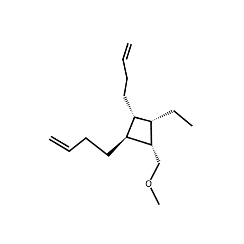 C=CCC[C@@H]1[C@H](CC)[C@H](COC)[C@H]1CCC=C